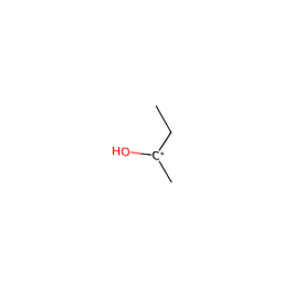 CC[C+](C)O